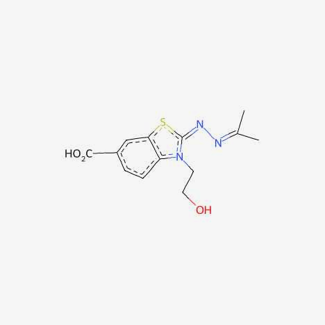 CC(C)=N/N=c1/sc2cc(C(=O)O)ccc2n1CCO